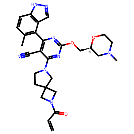 C=CC(=O)N1CC2(CCN(c3nc(OC[C@@H]4CN(C)CCO4)nc(-c4c(C)ccc5[nH]ncc45)c3C#N)C2)C1